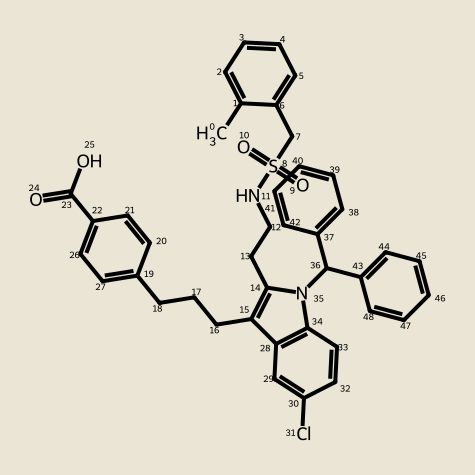 Cc1ccccc1CS(=O)(=O)NCCc1c(CCCc2ccc(C(=O)O)cc2)c2cc(Cl)ccc2n1C(c1ccccc1)c1ccccc1